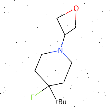 CC(C)(C)C1(F)CCN(C2COC2)CC1